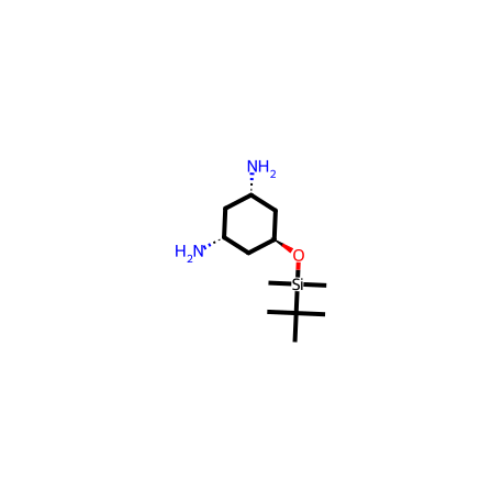 CC(C)(C)[Si](C)(C)O[C@H]1C[C@H](N)C[C@H](N)C1